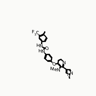 CNC1=C(Oc2ccc(NC(=O)Nc3ccc(C)c(C(F)(F)F)c3)cc2)CCN=C1c1cnn(C)c1